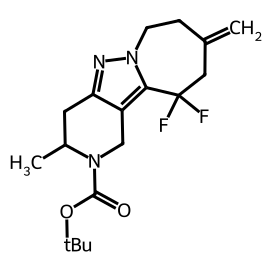 C=C1CCn2nc3c(c2C(F)(F)C1)CN(C(=O)OC(C)(C)C)C(C)C3